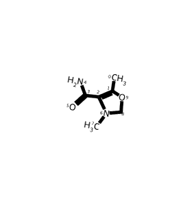 CC1=C(C(N)=O)N(C)CO1